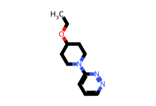 CCOC1CCN(c2cc[c]nn2)CC1